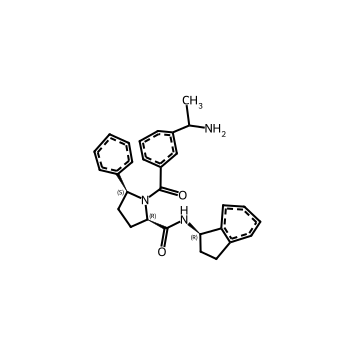 CC(N)c1cccc(C(=O)N2[C@@H](C(=O)N[C@@H]3CCc4ccccc43)CC[C@H]2c2ccccc2)c1